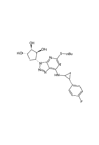 CCCCSc1nc(NC2CC2c2ccc(F)cc2)c2nnn([C@@H]3C[C@H](O)[C@@H](O)[C@H]3O)c2n1